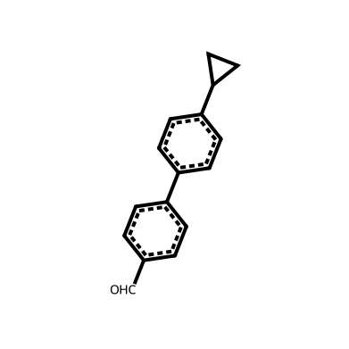 O=Cc1ccc(-c2ccc(C3CC3)cc2)cc1